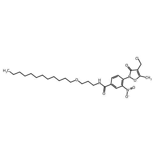 CCCCCCCCCCCCOCCCNC(=O)c1ccc(-n2oc(C)c(CCl)c2=O)c([N+](=O)[O-])c1